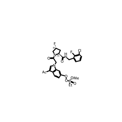 CCP(=O)(OC)OOc1ccc2c(C(C)=O)cn(CC(=O)N3C[C@H](F)C[C@H]3C(=O)NCc3cccc(Cl)c3F)c2c1